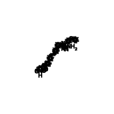 Nc1ncnc2c1c(-c1ccc(Oc3ccccc3)cc1)nn2[C@@H]1CCCN(C2CCN(CCN3CCC(c4ccc5c(c4)CN(C4CCC(=O)NC4=O)C5=O)CC3)CC2)C1